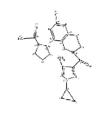 Cc1cn(C2CC2)nc1C(=O)N1CCc2cc(Cl)cc([C@@H]3CCCN3C(=O)O)c2C1